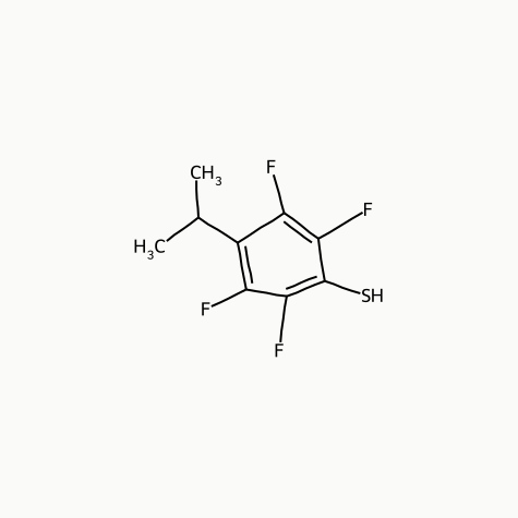 CC(C)c1c(F)c(F)c(S)c(F)c1F